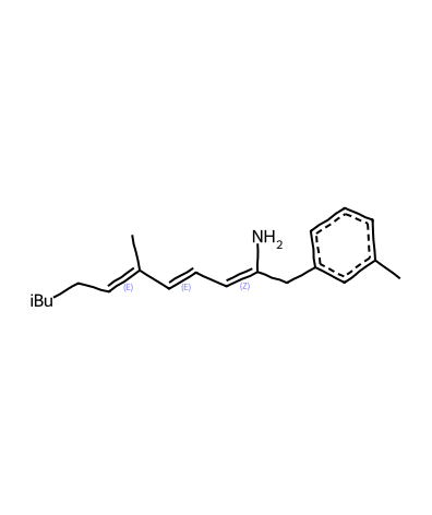 CCC(C)C/C=C(C)/C=C/C=C(\N)Cc1cccc(C)c1